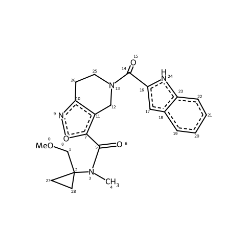 COCC1(N(C)C(=O)c2onc3c2CN(C(=O)c2cc4ccccc4[nH]2)CC3)CC1